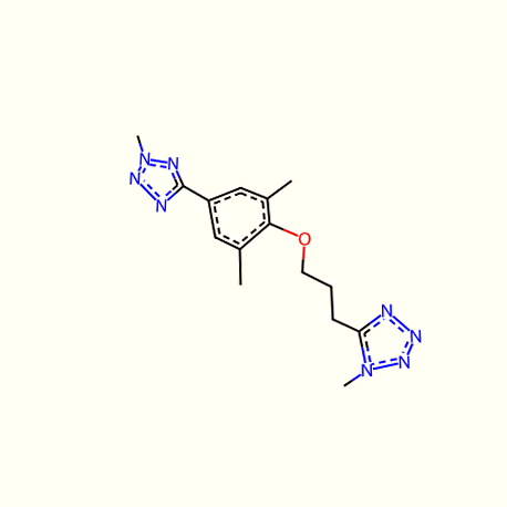 Cc1cc(-c2nnn(C)n2)cc(C)c1OCCCc1nnnn1C